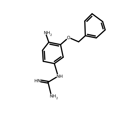 N=C(N)Nc1ccc(N)c(OCc2ccccc2)c1